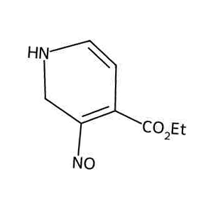 CCOC(=O)C1=C(N=O)CNC=C1